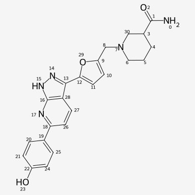 NC(=O)C1CCCN(Cc2ccc(-c3n[nH]c4nc(-c5ccc(O)cc5)ccc34)o2)C1